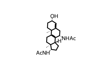 CC(=O)N[C@H]1CC2=C[C@@H](O)CC[C@]2(C)C2=C1[C@@H]1CC[C@H](NC(C)=O)[C@@]1(C)CC2